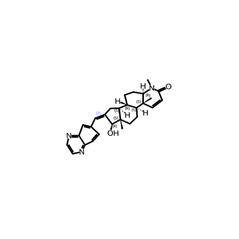 CN1C(=O)C=C[C@]2(C)[C@H]3CC[C@]4(C)[C@@H](O)/C(=C\c5ccc6nccnc6c5)C[C@H]4[C@@H]3CC[C@@H]12